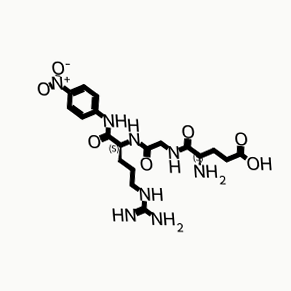 N=C(N)NCCC[C@H](NC(=O)CNC(=O)[C@@H](N)CCC(=O)O)C(=O)Nc1ccc([N+](=O)[O-])cc1